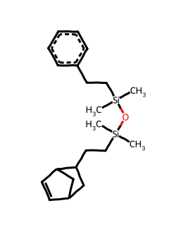 C[Si](C)(CCc1ccccc1)O[Si](C)(C)CCC1CC2C=CC1C2